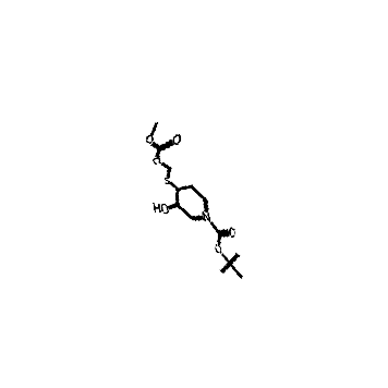 COC(=O)OCSC1CCN(C(=O)OC(C)(C)C)CC1O